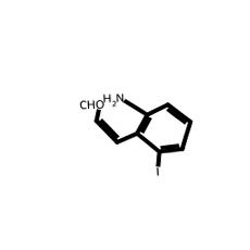 Nc1cccc(I)c1/C=C\C=O